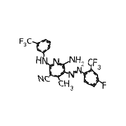 Cc1c(C#N)c(Nc2cccc(C(F)(F)F)c2)nc(N)c1/N=N/c1ccc(F)cc1C(F)(F)F